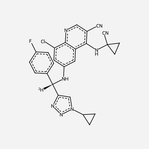 [2H][C@](Nc1cc(Cl)c2ncc(C#N)c(NC3(C#N)CC3)c2c1)(c1ccc(F)cc1)c1cn(C2CC2)nn1